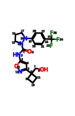 O=C(Nc1cc(C2(CO)CCC2)no1)N1CCCN1c1ccc(C(F)(F)F)cc1